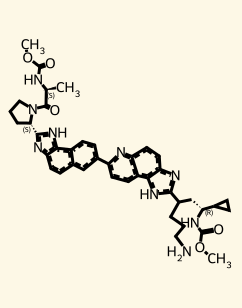 COC(=O)N[C@@H](C)C(=O)N1CCC[C@H]1c1nc2ccc3cc(-c4ccc5c(ccc6nc(C(CCCN)C[C@@H](NC(=O)OC)C7CC7)[nH]c65)n4)ccc3c2[nH]1